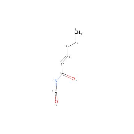 CCC/C=C/C(=O)N=C=O